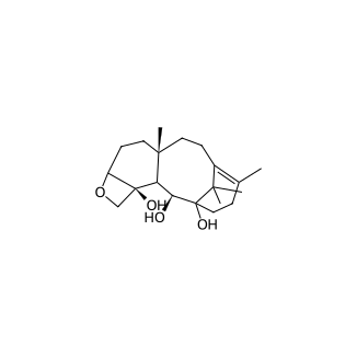 CC1=C2CC[C@@]3(C)CCC4OC[C@@]4(O)C3[C@H](O)C(O)(CC1)C2(C)C